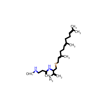 C=C(CCNC=O)NC(CSC/C=C(\C)CC/C=C(\C)CCC=C(C)C)C(=C)C